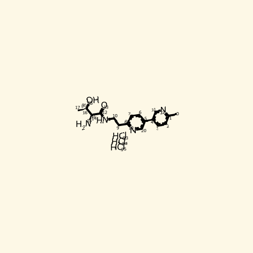 Cc1ccc(-c2ccc(CCNC(=O)[C@@H](N)[C@@H](C)O)nc2)cn1.Cl.Cl.Cl